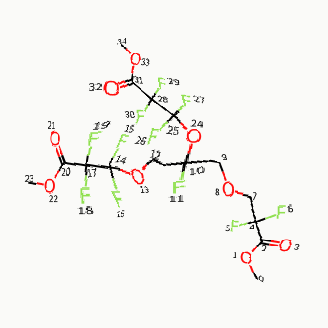 COC(=O)C(F)(F)COCC(F)(COC(F)(F)C(F)(F)C(=O)OC)OC(F)(F)C(F)(F)C(=O)OC